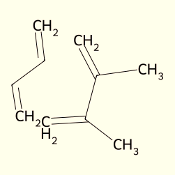 C=C(C)C(=C)C.C=CC=C